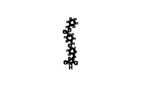 O=C1NC(=O)C(=Cc2ccc(OCC3CCN(C(=O)OCc4ccccc4)CC3)cc2)S1